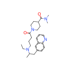 CCN(CCCC(=O)N1CCC(C(=O)N(C)C)CC1)C(C)Cc1ccc2ncccc2c1